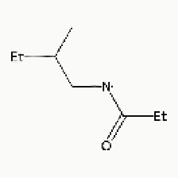 CCC(=O)[N]CC(C)CC